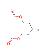 C=C(CCOC=O)CCOC=O